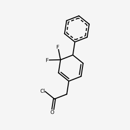 O=C(Cl)CC1=CC(F)(F)C(c2ccccc2)C=C1